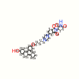 O=C1CCC(N2C(=O)c3ccc(N4CCN(CCCCCOc5ccc(C6c7ccc(O)cc7CCC6c6ccccc6)cc5)CC4)cc3C2=O)C(=O)N1